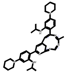 CC1=N/C(c2ccc(N3CCCCC3)cc2NC(C)C)=C\C2=CC(c3ccc(N4CCCCC4)cc3NC(C)C)=N\C(=N/C=N\1)C2